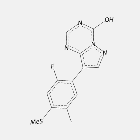 CSc1cc(F)c(-c2cnn3c(O)ncnc23)cc1C